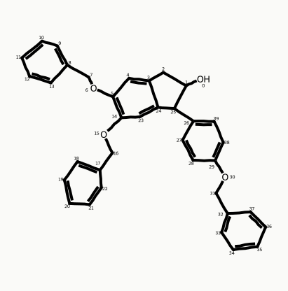 OC1Cc2cc(OCc3ccccc3)c(OCc3ccccc3)cc2C1c1ccc(OCc2ccccc2)cc1